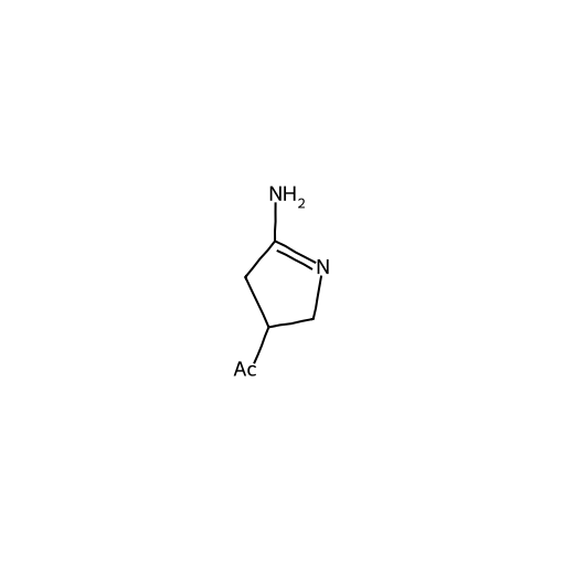 CC(=O)C1CN=C(N)C1